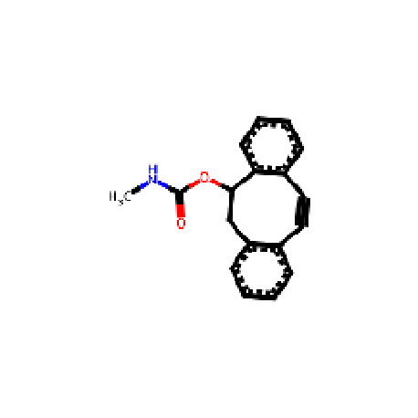 CNC(=O)OC1Cc2ccccc2C#Cc2ccccc21